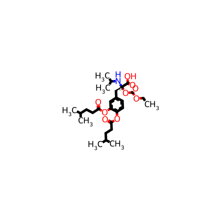 CCOC(=O)O[C@](Cc1ccc(OC(=O)CCC(C)C)c(OC(=O)CCC(C)C)c1)(NC(C)C)C(=O)O